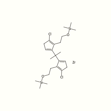 CC(C)(C1=CCC(Cl)=C1CCO[Si](C)(C)C)C1=CCC(Cl)=C1CCO[Si](C)(C)C.[Zr]